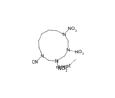 CCCCCCCC.O=NN1CCCCCN([N+](=O)[O-])CN([N+](=O)[O-])CN([N+](=O)[O-])C1